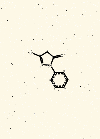 O=C1CC(Br)=NN1c1ccccc1